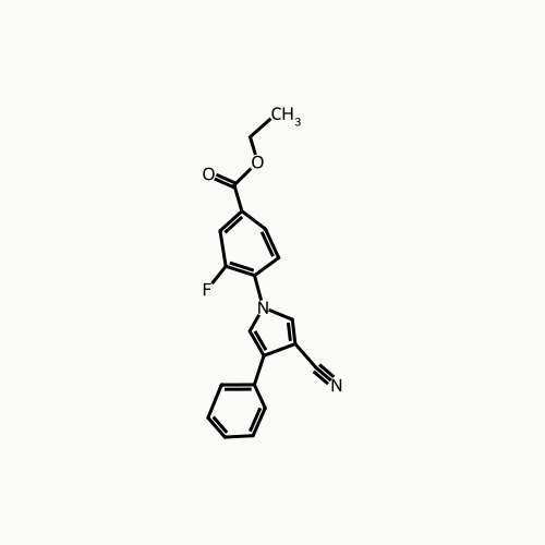 CCOC(=O)c1ccc(-n2cc(C#N)c(-c3ccccc3)c2)c(F)c1